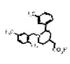 O=C(O)CC1CCN(Cc2cc(C(F)(F)F)ccc2C(F)(F)F)C(c2cccc(C(F)(F)F)c2)C1